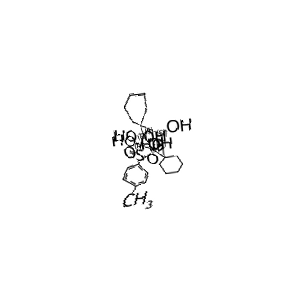 Cc1ccc(S(=O)(=O)[C@]2(O)[C@@]3(O)C4(CCCCC4)[C@]3(O)[C@H](O)[C@]3(O)C4(CCCCC4)[C@]23O)cc1